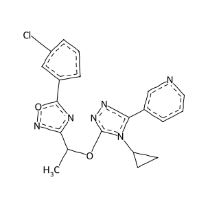 CC(Oc1nnc(-c2cccnc2)n1C1CC1)c1noc(-c2cccc(Cl)c2)n1